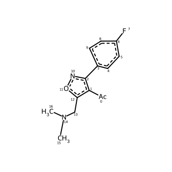 CC(=O)c1c(-c2ccc(F)cc2)noc1CN(C)C